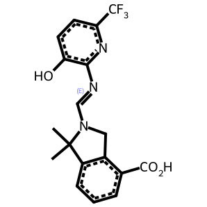 CC1(C)c2cccc(C(=O)O)c2CN1/C=N/c1nc(C(F)(F)F)ccc1O